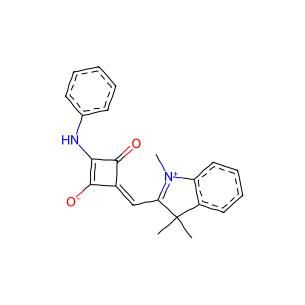 C[N+]1=C(/C=C2\C(=O)C(Nc3ccccc3)=C2[O-])C(C)(C)c2ccccc21